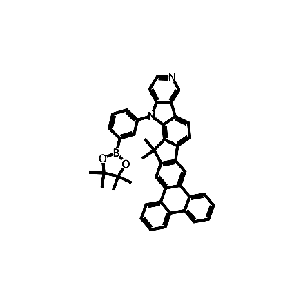 CC1(C)c2cc3c4ccccc4c4ccccc4c3cc2-c2ccc3c4cnccc4n(-c4cccc(B5OC(C)(C)C(C)(C)O5)c4)c3c21